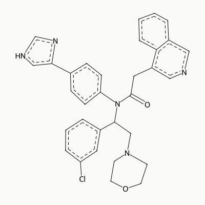 O=C(Cc1cncc2ccccc12)N(c1ccc(-c2c[nH]cn2)cc1)C(CN1CCOCC1)c1cccc(Cl)c1